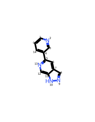 c1cncc(-c2cc3cn[nH]c3cn2)c1